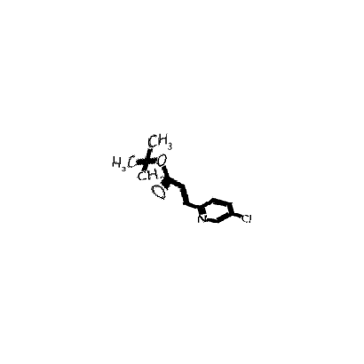 CC(C)(C)OC(=O)/C=C/c1ccc(Cl)cn1